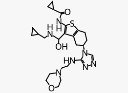 O=C(Nc1sc2c(c1C(O)NCC1CC1)C[C@H](n1cnnc1NCCN1CCOCC1)CC2)C1CC1